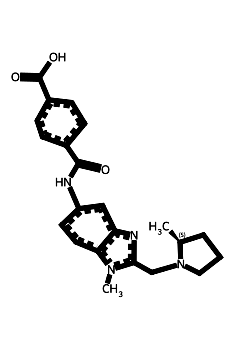 C[C@H]1CCCN1Cc1nc2cc(NC(=O)c3ccc(C(=O)O)cc3)ccc2n1C